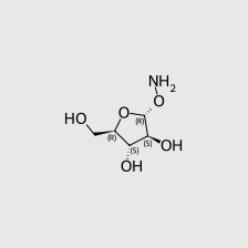 NO[C@H]1O[C@H](CO)[C@@H](O)[C@@H]1O